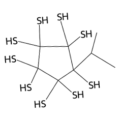 CC(C)C1(S)C(S)(S)C(S)(S)C(S)(S)C1(S)S